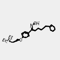 CCN(CC)CCOc1ccc(C(CCCCc2ccccc2)=NO)cc1